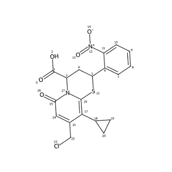 O=C(O)C1CC(c2ccccc2[N+](=O)[O-])Sc2c(C3CC3)c(CCl)cc(=O)n21